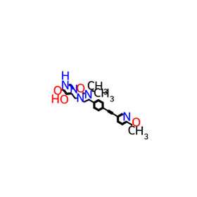 CC(=O)c1ccc(C#Cc2ccc(C3CN(Cc4nc[nH]c(=O)c4O)C(=O)N3C(C)C)cc2)cn1